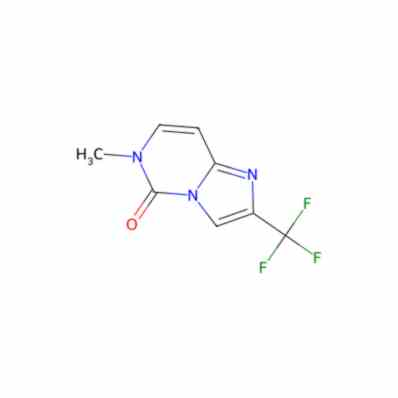 Cn1ccc2nc(C(F)(F)F)cn2c1=O